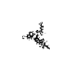 C=CC[C@H](O)[C@H](C)S(=O)(=O)NC(=O)c1ccc2c(c1)N(C[C@@H]1CC[C@H]1[C@@H](O)/C=C/CCC)C[C@@]1(CCCc3cc(Cl)ccc31)CO2